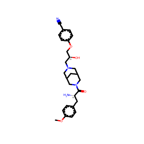 COc1ccc(C[C@H](N)C(=O)N2CC3CC(CN(C[C@H](O)COc4ccc(C#N)cc4)C3)C2)cc1